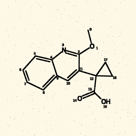 COc1nc2ccccc2cc1C1(C(=O)O)CC1